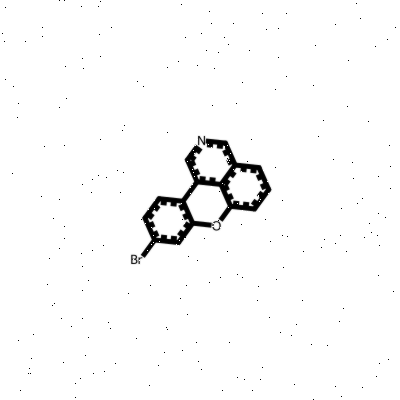 Brc1ccc2c(c1)Oc1cccc3cncc-2c13